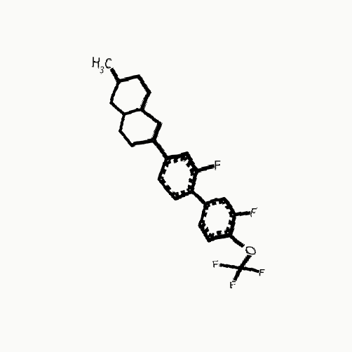 CC1CCC2CC(c3ccc(-c4ccc(OC(F)(F)F)c(F)c4)c(F)c3)CCC2C1